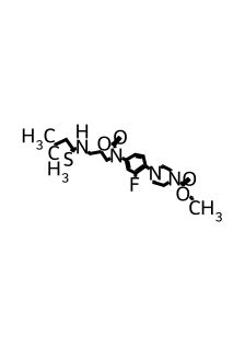 CCOC(=O)N1CCN(c2ccc(N3CC(CNC(=S)CC(C)C)OC3=O)cc2F)CC1